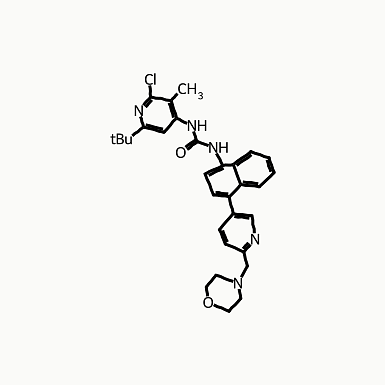 Cc1c(NC(=O)Nc2ccc(-c3ccc(CN4CCOCC4)nc3)c3ccccc23)cc(C(C)(C)C)nc1Cl